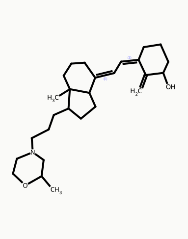 C=C1/C(=C\C=C2/CCCC3(C)C(CCCN4CCOC(C)C4)CCC23)CCCC1O